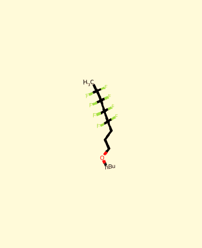 CCCCOCCCC(F)(F)C(F)(F)C(F)(F)C(C)(F)F